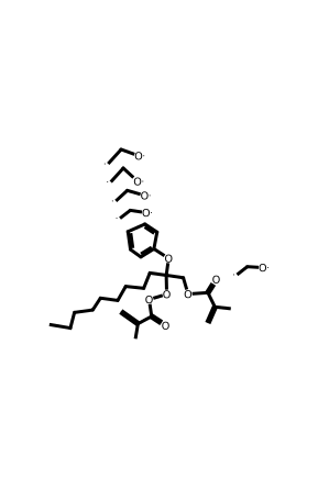 C=C(C)C(=O)OCC(CCCCCCCCC)(OOC(=O)C(=C)C)Oc1ccccc1.[CH2]C[O].[CH2]C[O].[CH2]C[O].[CH2]C[O].[CH2]C[O]